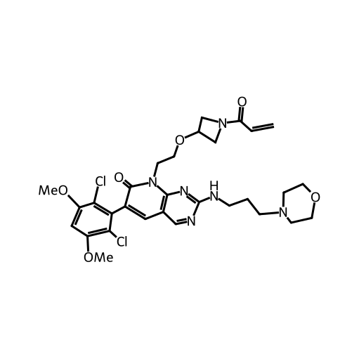 C=CC(=O)N1CC(OCCn2c(=O)c(-c3c(Cl)c(OC)cc(OC)c3Cl)cc3cnc(NCCCN4CCOCC4)nc32)C1